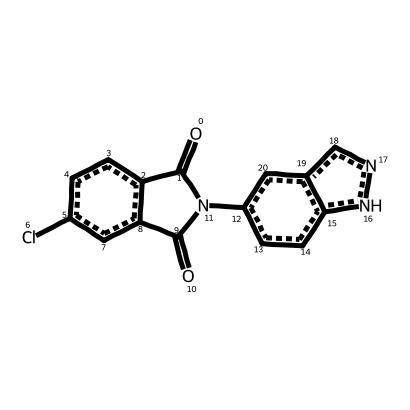 O=C1c2c[c]c(Cl)cc2C(=O)N1c1ccc2[nH]ncc2c1